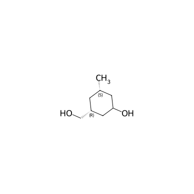 C[C@@H]1CC(O)C[C@H](CO)C1